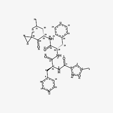 Cc1cc(C(=O)N[C@@H](Cc2ccncc2)C(=O)N[C@@H](Cc2ccccc2)C(=O)N[C@@H](CC(C)C)C(=O)C2(C)CC2)no1